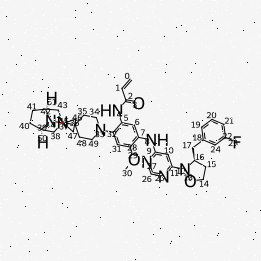 C=CC(=O)Nc1cc(Nc2cc(N3OCC[C@@H]3Cc3cccc(F)c3)ncn2)c(OC)cc1N1CCC(N2C[C@H]3CC[C@@H](C2)N3C2CC2)CC1